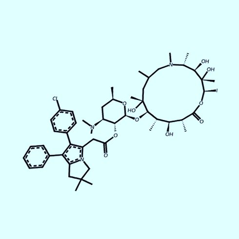 CC1CN(C)[C@H](C)[C@@H](O)[C@](C)(O)[C@@H](I)OC(=O)[C@H](C)[C@@H](O)[C@H](C)[C@@H](O[C@@H]2O[C@H](C)C[C@H](N(C)C)[C@H]2OC(=O)Cc2c(-c3ccc(Cl)cc3)c(-c3ccccc3)c3n2CC(C)(C)C3)[C@](C)(O)C1